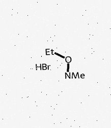 Br.CCONC